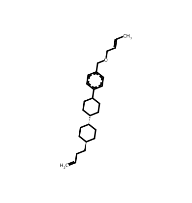 C=CCC[C@H]1CC[C@H](C2CCC(c3ccc(COC/C=C/C)cc3)CC2)CC1